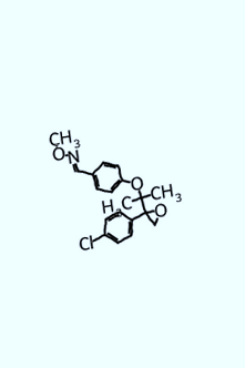 CON=Cc1ccc(OC(C)(C)C2(c3ccc(Cl)cc3)CO2)cc1